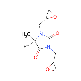 CCC1(C)C(=O)N(CC2CO2)C(=O)N1CC1CO1